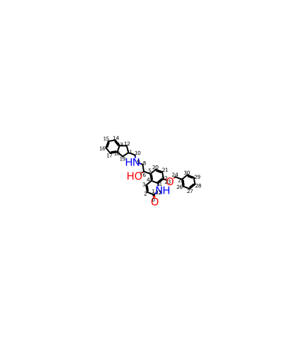 O=c1ccc2c(C(O)CNCC3Cc4ccccc4C3)ccc(OCc3ccccc3)c2[nH]1